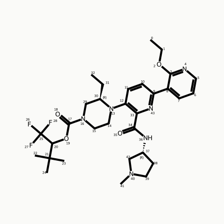 CCOc1ncccc1-c1ccc(N2CCN(C(=O)OC(C(C)(C)C)C(F)(F)F)C[C@H]2CC)c(C(=O)N[C@@H]2CCN(C)C2)n1